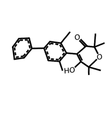 Cc1cc(-c2ccccc2)cc(C)c1C1=C(O)C(C)(C)OC(C)(C)C1=O